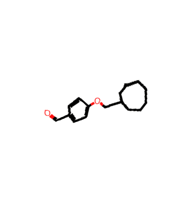 O=Cc1ccc(OCC2CCCCCCC2)cc1